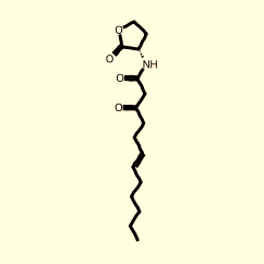 CCCCC/C=C/CCC(=O)CC(=O)N[C@H]1CCOC1=O